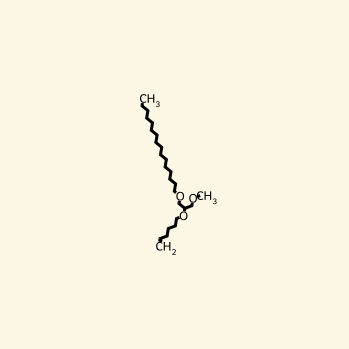 C=CCCCCOC(COC)COCCCCCCCCCCCCCCCC